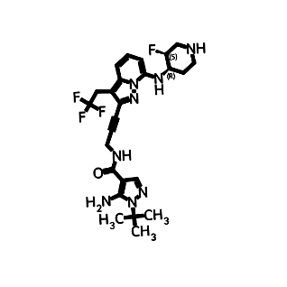 CC(C)(C)n1ncc(C(=O)NCC#Cc2nn3c(N[C@@H]4CCNC[C@@H]4F)cccc3c2CC(F)(F)F)c1N